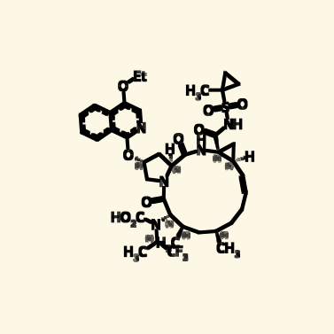 CCOc1cnc(O[C@@H]2C[C@H]3C(=O)N[C@]4(C(=O)NS(=O)(=O)C5(C)CC5)C[C@H]4C=CCC[C@@H](C)C[C@@H](C)[C@H](N(C(=O)O)[C@H](C)C(F)(F)F)C(=O)N3C2)c2ccccc12